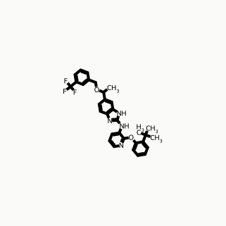 CC(OCc1cccc(C(F)(F)F)c1)c1ccc2nc(Nc3cccnc3Oc3ccccc3C(C)(C)C)[nH]c2c1